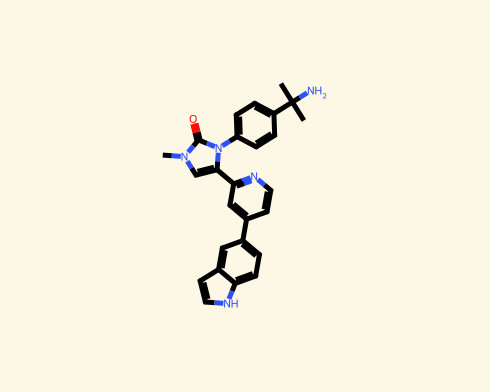 Cn1cc(-c2cc(-c3ccc4[nH]ccc4c3)ccn2)n(-c2ccc(C(C)(C)N)cc2)c1=O